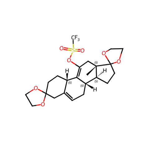 C[C@]12CC(OS(=O)(=O)C(F)(F)F)=C3[C@H]4CCC5(CC4=CC[C@H]3[C@@H]1CCC21OCCO1)OCCO5